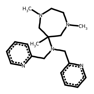 CN1CCN(C)CC(C)(N(Cc2ccccn2)Cc2ccccn2)C1